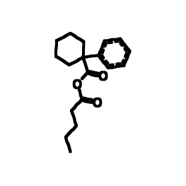 CCCCC(=O)OC(=O)C1(c2ccccc2)CCCCC1